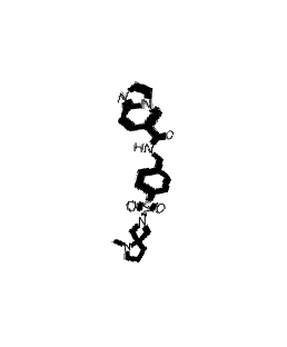 CN1CCCC12CN(S(=O)(=O)c1ccc(CNC(=O)c3ccc4nccn4c3)cc1)C2